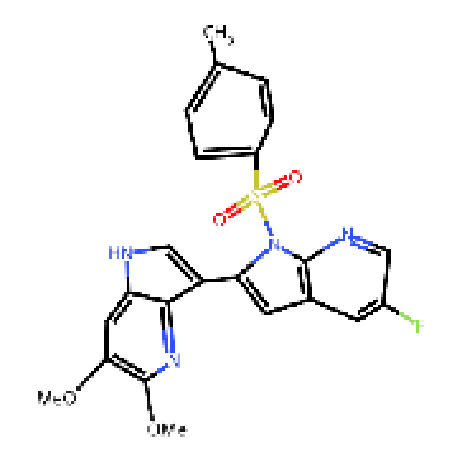 COc1cc2[nH]cc(-c3cc4cc(F)cnc4n3S(=O)(=O)c3ccc(C)cc3)c2nc1OC